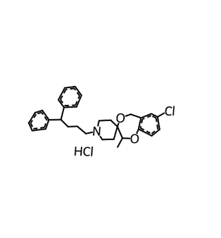 CC1Oc2ccc(Cl)cc2COC12CCN(CCCC(c1ccccc1)c1ccccc1)CC2.Cl